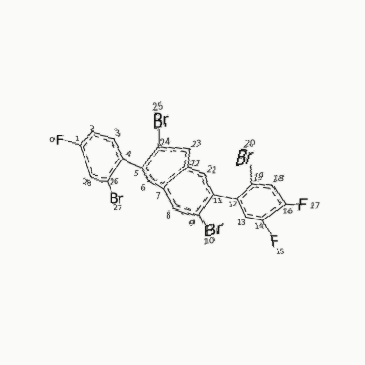 Fc1ccc(-c2cc3cc(Br)c(-c4cc(F)c(F)cc4Br)cc3cc2Br)c(Br)c1